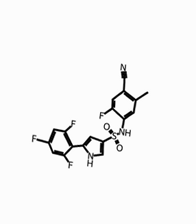 Cc1cc(NS(=O)(=O)c2c[nH]c(-c3c(F)cc(F)cc3F)c2)c(F)cc1C#N